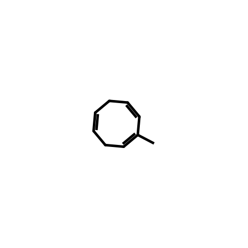 CC1=C/C/C=C\C/C=C\1